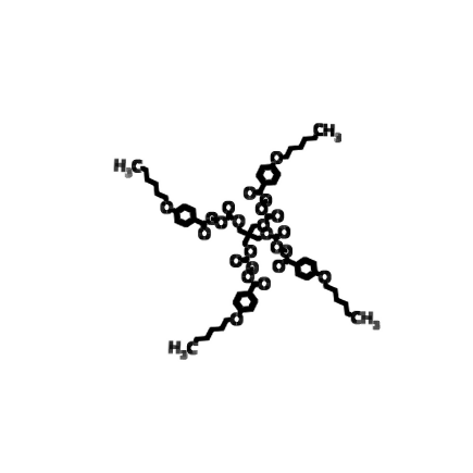 CCCCCCOc1ccc(C(=O)OOC(=O)OCC(COC(=O)OOC(=O)c2ccc(OCCCCCC)cc2)(COC(=O)OOC(=O)c2ccc(OCCCCCC)cc2)COC(=O)OOC(=O)c2ccc(OCCCCCC)cc2)cc1